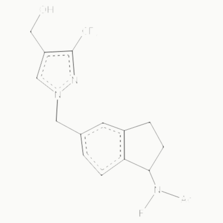 CC(=O)N(F)C1CCc2cc(Cn3cc(CO)c(C(F)(F)F)n3)ccc21